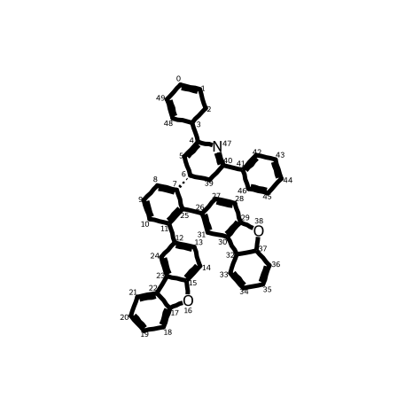 C1=CCC(C2=C[C@@H](c3cccc(-c4ccc5oc6ccccc6c5c4)c3-c3ccc4c(c3)C3C=CC=CC3O4)CC(c3ccccc3)=N2)C=C1